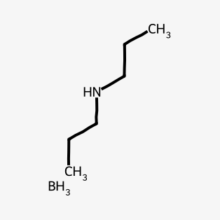 B.CCCNCCC